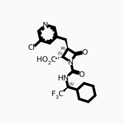 O=C(O)[C@@H]1[C@@H](Cc2cncc(Cl)c2)C(=O)N1C(=O)N[C@@H](C1CCCCC1)C(F)(F)F